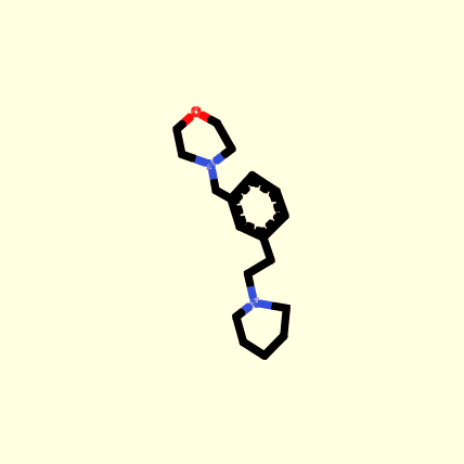 c1cc(CCN2CCCCC2)cc(CN2CCOCC2)c1